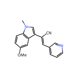 COc1ccc2c(c1)c(C(C#N)=Cc1cccnc1)cn2C